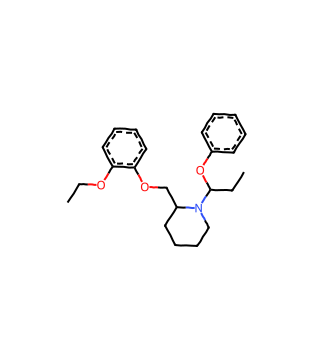 CCOc1ccccc1OCC1CCCCN1C(CC)Oc1ccccc1